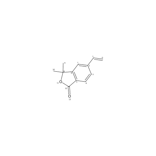 C=Cc1ccc2c(c1)C(C)(C)OC2=O